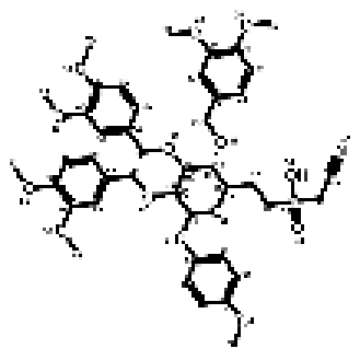 COc1ccc(OC2O[C@H](CCP(=O)(O)CC#N)[C@@H](OCc3ccc(OC)c(OC)c3)[C@H](OCc3ccc(OC)c(OC)c3)[C@@H]2OCc2ccc(OC)c(OC)c2)cc1